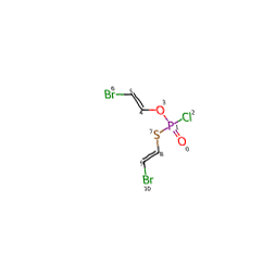 O=P(Cl)(O/C=C/Br)S/C=C/Br